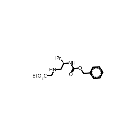 CCOC(=O)CNC[C@H](NC(=O)OCc1ccccc1)C(C)C